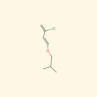 C=C(Cl)C=COCC(C)C